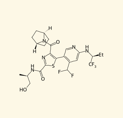 CC[C@H](Nc1cc(C(F)F)c(-c2sc(C(=O)N[C@H](C)CO)nc2C(=O)N2[C@H]3CC[C@H]2CC3)cn1)C(F)(F)F